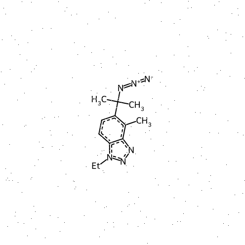 CCn1nnc2c(C)c(C(C)(C)N=[N+]=[N-])ccc21